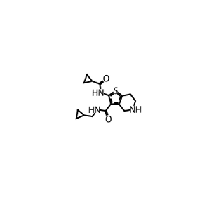 O=C(NCC1CC1)c1c(NC(=O)C2CC2)sc2c1CNCC2